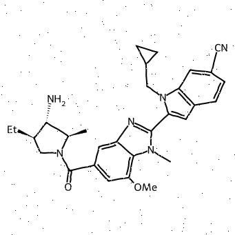 CC[C@@H]1CN(C(=O)c2cc(OC)c3c(c2)nc(-c2cc4ccc(C#N)cc4n2CC2CC2)n3C)[C@H](C)[C@H]1N